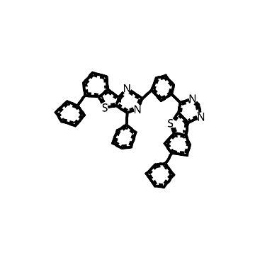 c1ccc(-c2ccc3c(c2)sc2c(-c4cccc(-c5nc(-c6ccccc6)c6sc7c(-c8ccccc8)cccc7c6n5)c4)ncnc23)cc1